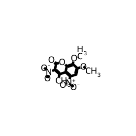 COc1cc([N+](=O)[O-])c2c(C)c([N+](=O)[O-])c(=O)oc2c1OC